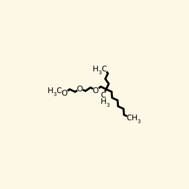 CCCCCCCC(C)(CCCC)COCCOCCOC